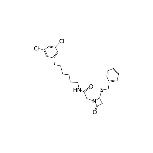 O=C(CN1C(=O)CC1SCc1ccccc1)NCCCCCCc1cc(Cl)cc(Cl)c1